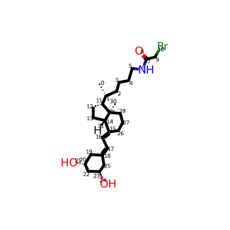 C[C@H](CCCCNC(=O)CBr)[C@H]1CC[C@H]2/C(=C/C=C3C[C@@H](O)C[C@H](O)C3)CCC[C@]12C